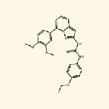 CCOc1ccc(NC(=O)Nc2cc3nccc(-c4ccc(OC)c(OC)c4)n3n2)cc1